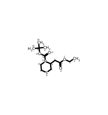 CCOC(=O)CC1CSCCN1C(=O)OC(C)(C)C